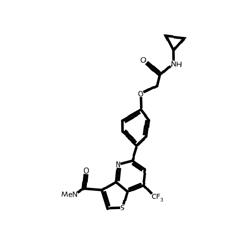 CNC(=O)c1csc2c(C(F)(F)F)cc(-c3ccc(OCC(=O)NC4CC4)cc3)nc12